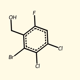 OCc1c(F)cc(Cl)c(Cl)c1Br